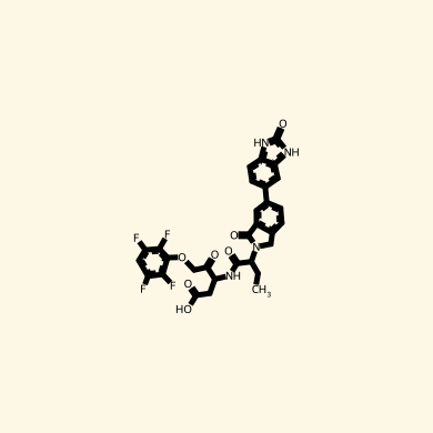 CCC(C(=O)NC(CC(=O)O)C(=O)COc1c(F)c(F)cc(F)c1F)N1Cc2ccc(-c3ccc4[nH]c(=O)[nH]c4c3)cc2C1=O